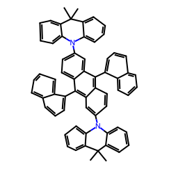 CC1(C)c2ccccc2N(c2ccc3c(-c4cccc5ccccc45)c4cc(N5c6ccccc6C(C)(C)c6ccccc65)ccc4c(-c4cccc5ccccc45)c3c2)c2ccccc21